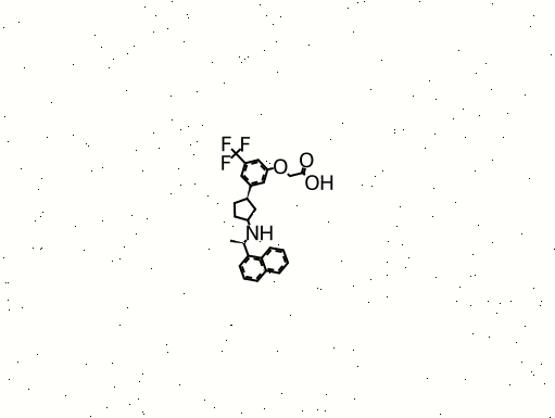 C[C@@H](NC1CC[C@@H](c2cc(OCC(=O)O)cc(C(F)(F)F)c2)C1)c1cccc2ccccc12